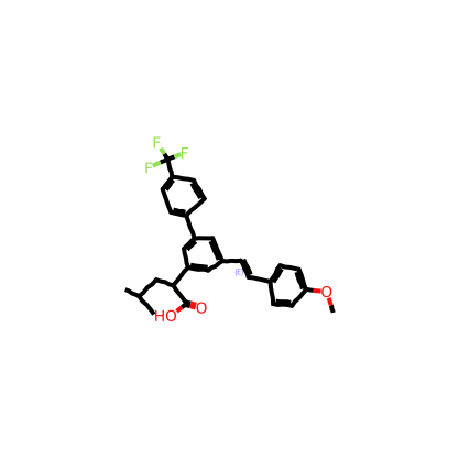 COc1ccc(/C=C/c2cc(-c3ccc(C(F)(F)F)cc3)cc(C(CC(C)C)C(=O)O)c2)cc1